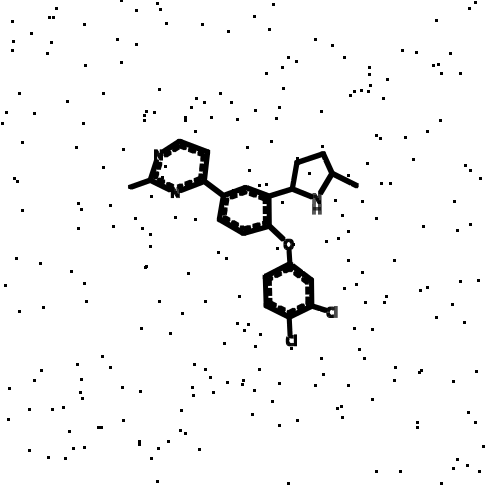 Cc1nccc(-c2ccc(Oc3ccc(Cl)c(Cl)c3)c(C3CCC(C)N3)c2)n1